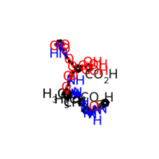 Cc1c(-c2ccc(N3CCn4cnc(C(=O)Nc5nc6ccccc6s5)c4C3)nc2C(=O)O)cnn1CC12CC3(C)CC(C)(C1)CC(OCCNC(=O)OCc1ccc(O[C@@H]4O[C@H](C(=O)O)[C@@H](O)[C@H](O)[C@H]4O)cc1OCCOCCNC(=O)CN1C(=O)C=CC1=O)(C3)C2